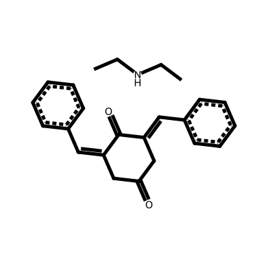 CCNCC.O=C1CC(=Cc2ccccc2)C(=O)C(=Cc2ccccc2)C1